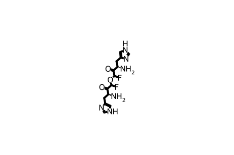 N[C@@H](Cc1c[nH]cn1)C(=O)C(F)OC(F)C(=O)[C@@H](N)Cc1c[nH]cn1